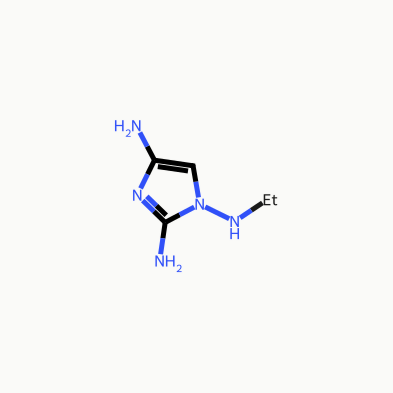 CCNn1cc(N)nc1N